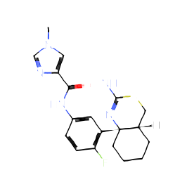 Cn1cnc(C(=O)Nc2ccc(F)c([C@]34CCCC[C@H]3CSC(N)=N4)c2)c1